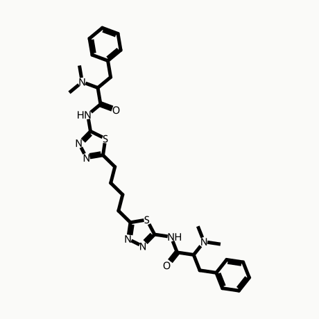 CN(C)C(Cc1ccccc1)C(=O)Nc1nnc(CCCCc2nnc(NC(=O)C(Cc3ccccc3)N(C)C)s2)s1